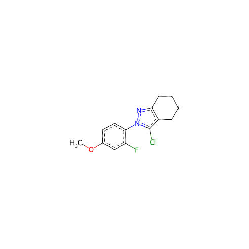 COc1ccc(-n2nc3c(c2Cl)CCCC3)c(F)c1